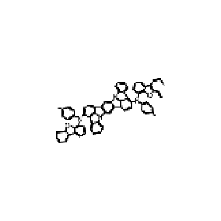 C=Cc1oc2c(N(c3ccc(C)cc3)c3ccc4c5cc6c(cc5n5c7ccccc7c3c45)c3ccc(N(c4ccc(C)cc4)c4cccc5c4oc4ccccc45)c4c5ccccc5n6c34)cccc2c1/C=C\C